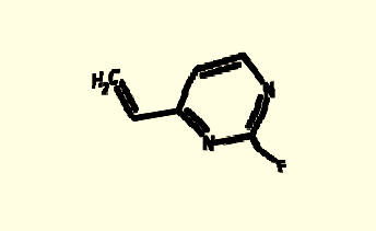 C=Cc1ccnc(F)n1